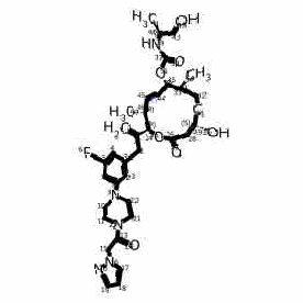 C=C(Cc1cc(F)cc(N2CCN(C(=O)Cn3cccn3)CC2)c1)[C@@H]1OC(=O)C[C@@H](O)CC[C@H](C)[C@@H](OC(=O)N[C@@H](C)CO)/C=C/[C@H]1C